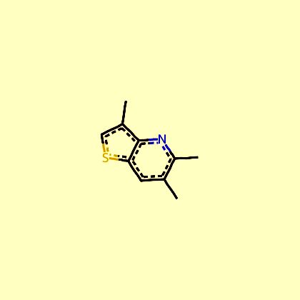 Cc1cc2scc(C)c2nc1C